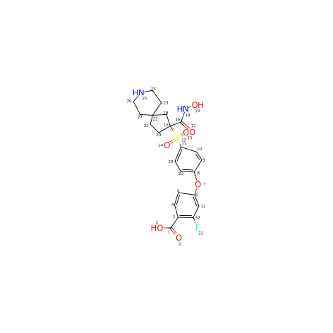 O=C(O)c1ccc(Oc2ccc(S(=O)(=O)C3(C(=O)NO)CCC4(CCNCC4)C3)cc2)cc1F